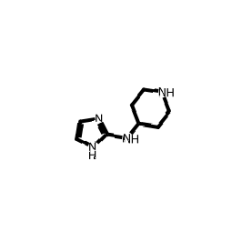 c1c[nH]c(NC2CCNCC2)n1